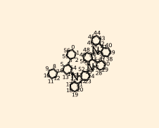 c1ccc(-c2cc(-c3ccccc3)cc(-n3c4ccccc4c4ccc(-n5c6ccccc6c6c(-n7c8ccccc8c8ccccc87)cccc65)cc43)c2)cc1